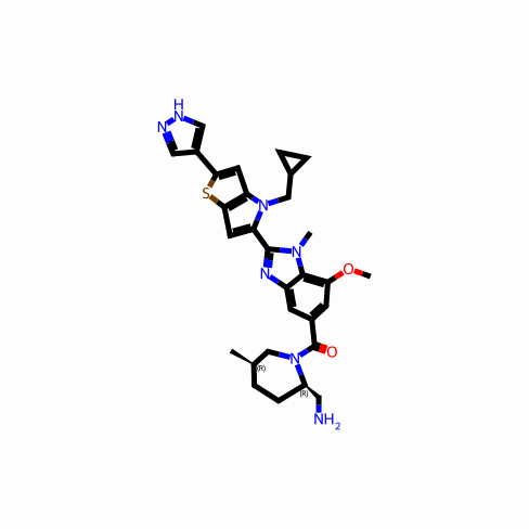 COc1cc(C(=O)N2C[C@H](C)CC[C@@H]2CN)cc2nc(-c3cc4sc(-c5cn[nH]c5)cc4n3CC3CC3)n(C)c12